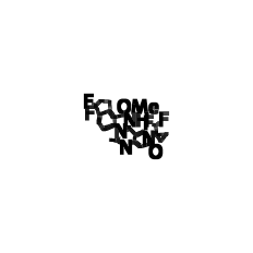 COC(Nc1nc(C)nc2cc(=O)n(C3(C(F)F)CC3)cc12)c1cccc2c1CCC2(F)F